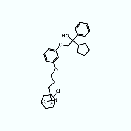 OC(COc1cccc(OCOC[C@]2(Cl)CC3CCN2CC3)c1)(c1ccccc1)C1CCCC1